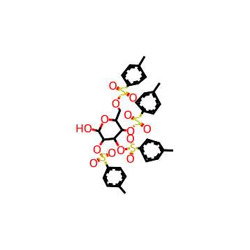 Cc1ccc(S(=O)(=O)OCC2OC(O)C(OS(=O)(=O)c3ccc(C)cc3)C(OS(=O)(=O)c3ccc(C)cc3)C2OS(=O)(=O)c2ccc(C)cc2)cc1